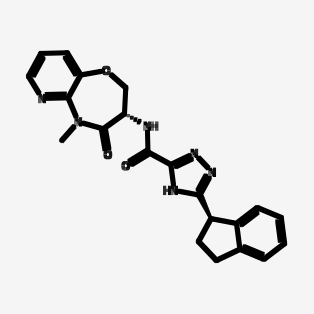 CN1C(=O)[C@@H](NC(=O)c2nnc([C@@H]3CCc4ccccc43)[nH]2)COc2cccnc21